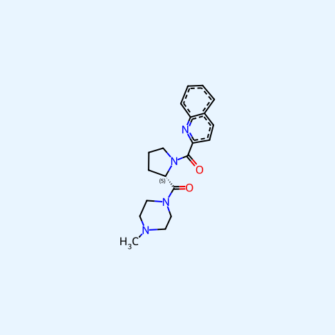 CN1CCN(C(=O)[C@@H]2CCCN2C(=O)c2ccc3ccccc3n2)CC1